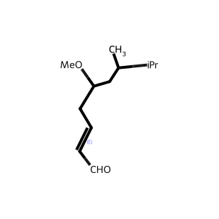 COC(C/C=C/C=O)CC(C)C(C)C